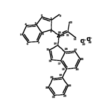 CC1=Cc2ccccc2[CH]1[Zr+2](=[C](C)C)[CH]1C=Cc2c(-c3ccccc3)cccc21.[Cl-].[Cl-]